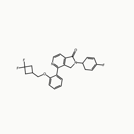 O=C1c2ccnc(-c3ccccc3OCC3CC(F)(F)C3)c2CN1C1C=CC(F)=CC1